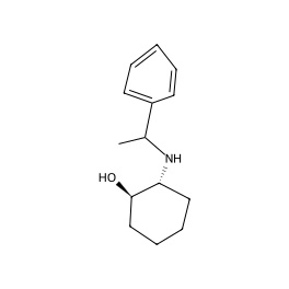 CC(N[C@@H]1CCCC[C@H]1O)c1ccccc1